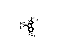 N#CC(C#N)=C1c2cc([N+](=O)[O-])ccc2-c2cc([N+](=O)[O-])sc21